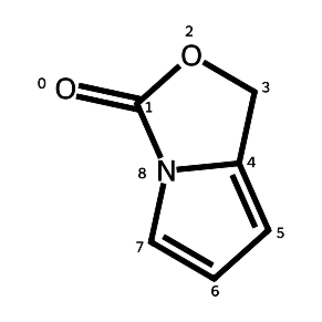 O=C1OCc2cccn21